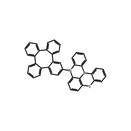 c1ccc2c(c1)Sc1cccc3c1B2c1ccccc1N3c1ccc2c(c1)-c1ccccc1-c1ccccc1-c1ccccc1-2